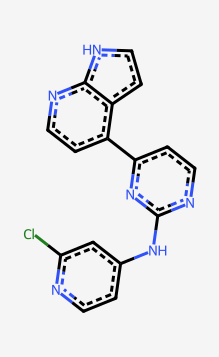 Clc1cc(Nc2nccc(-c3ccnc4[nH]ccc34)n2)ccn1